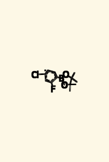 CC1(C)OB(c2c[c]c(Cl)cc2F)OC1(C)C